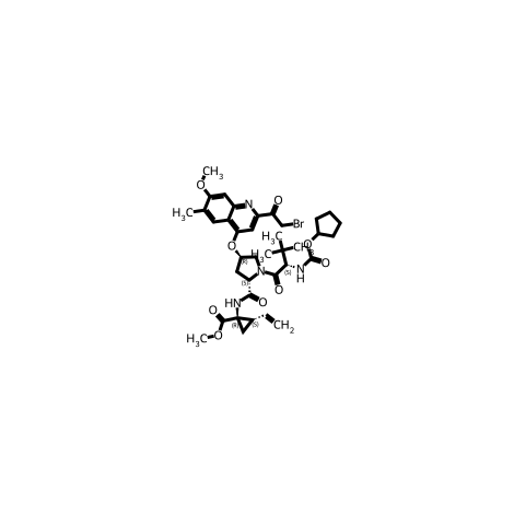 C=C[C@@H]1C[C@]1(NC(=O)[C@@H]1C[C@@H](Oc2cc(C(=O)CBr)nc3cc(OC)c(C)cc23)CN1C(=O)[C@@H](NC(=O)OC1CCCC1)C(C)(C)C)C(=O)OC